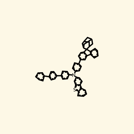 c1ccc(-c2ccc(-c3ccc(N(c4ccc(-c5ccc6c(c5)-c5ccccc5C65C6CC7CC(C6)CC5C7)cc4)c4ccc5c(c4)sc4ccccc45)cc3)cc2)cc1